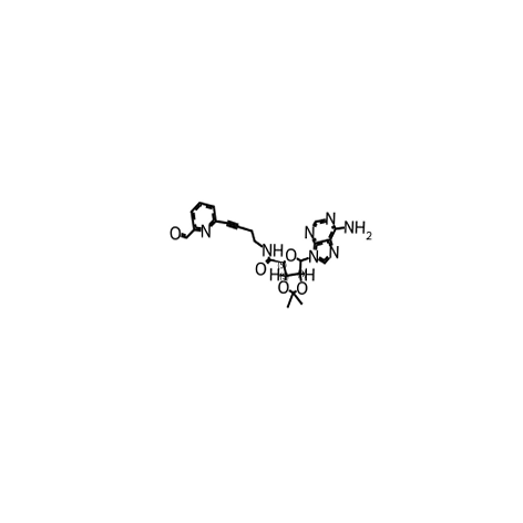 CC1(C)O[C@@H]2[C@@H](C(=O)NCCC#Cc3cccc(C=O)n3)OC(n3cnc4c(N)ncnc43)[C@@H]2O1